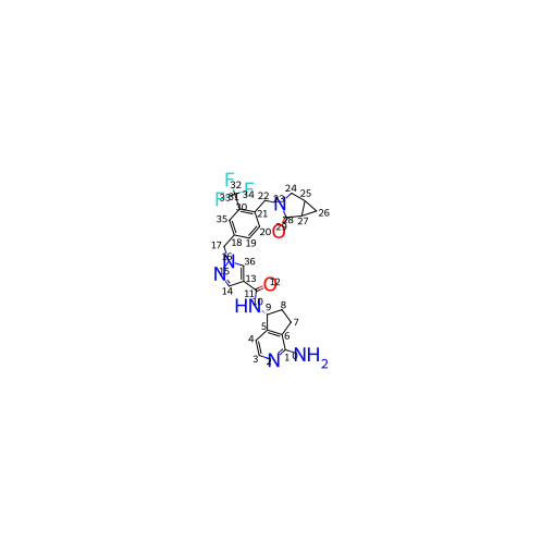 Nc1nccc2c1CC[C@H]2NC(=O)c1cnn(Cc2ccc(CN3CC4CC4C3=O)c(C(F)(F)F)c2)c1